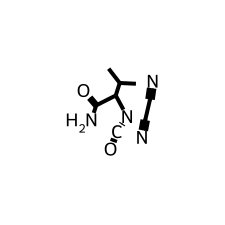 CC(C)C(N=C=O)C(N)=O.N#CC#N